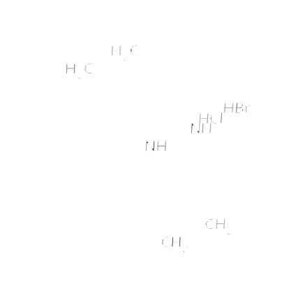 Br.C=CCNCC=C.C=CCNCC=C.Cl